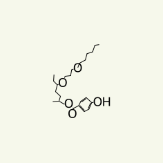 CCCCCCOCCCOC(CC)CCC(C)COC(=O)c1ccc(O)cc1